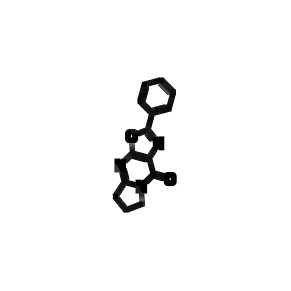 O=c1c2nc(-c3ccccc3)oc2nc2n1CCC2